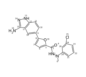 CN(NC(=O)c1ccc(-c2ccc3[nH]nc(N)c3c2)o1)c1cccc(Cl)c1